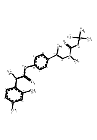 Cc1ccc(C(C)C(=O)Oc2ccc(C(O)CN(C)C(=O)OC(C)(C)C)cc2)c(C)c1